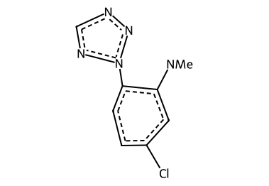 CNc1cc(Cl)ccc1-n1ncnn1